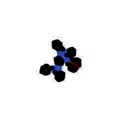 c1ccc(CN(Cc2ccccc2)/N=C2/CC/C(=N\N(Cc3ccccc3)Cc3ccccc3)C/C2=N\N(Cc2ccccc2)Cc2ccccc2)cc1